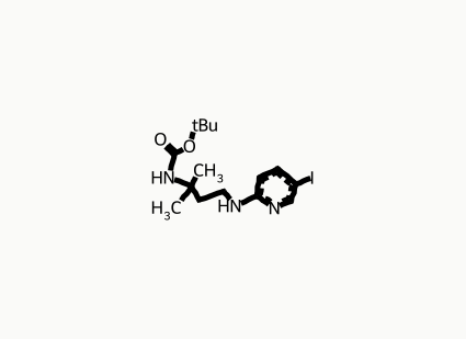 CC(C)(CCNc1ccc(I)cn1)NC(=O)OC(C)(C)C